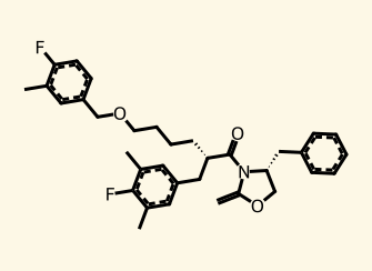 C=C1OC[C@@H](Cc2ccccc2)N1C(=O)[C@@H](CCCCOCc1ccc(F)c(C)c1)Cc1cc(C)c(F)c(C)c1